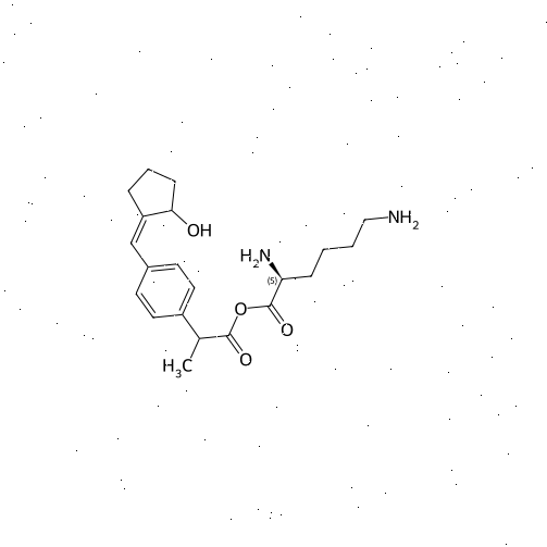 CC(C(=O)OC(=O)[C@@H](N)CCCCN)c1ccc(C=C2CCCC2O)cc1